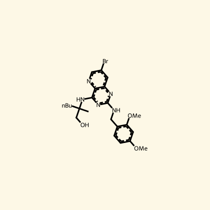 CCCCC(C)(CO)Nc1nc(NCc2ccc(OC)cc2OC)nc2cc(Br)cnc12